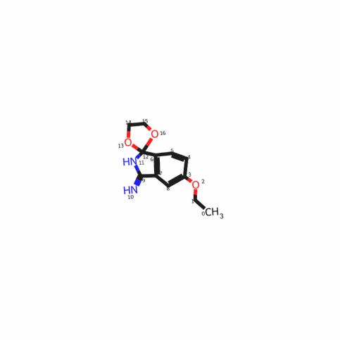 CCOc1ccc2c(c1)C(=N)NC21OCCO1